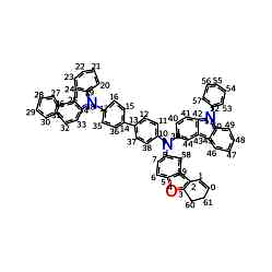 C1=Cc2c(oc3ccc(N(c4ccc(-c5ccc(-n6c7ccccc7c7c8ccccc8ccc76)cc5)cc4)c4ccc5c(c4)c4ccccc4n5-c4ccccc4)cc23)CC1